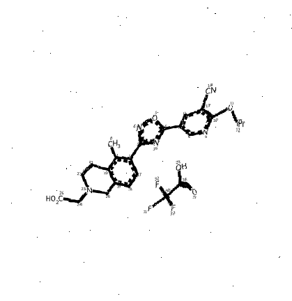 Cc1c(-c2noc(-c3cnc(OC(C)C)c(C#N)c3)n2)ccc2c1CCN(CC(=O)O)C2.O=C(O)C(F)(F)F